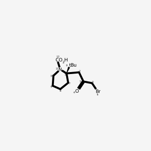 CC(C)(C)[C@@]1(CC(=O)CBr)CCCCN1C(=O)O